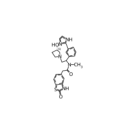 CN(C(=O)Cc1ccc2sc(=O)[nH]c2c1)C(CN1CC[C@H](O)C1)c1cccc(-c2ncc[nH]2)c1